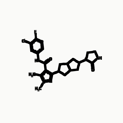 Cn1nc(C2CC3CC(N4CCNC4=O)CC3C2)c(C(=O)Nc2ccc(F)c(Cl)c2)c1N